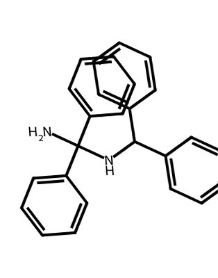 NC(NC(c1ccccc1)c1ccccc1)(c1ccccc1)c1ccccc1